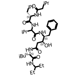 CCC(CC)NC(=O)[C@@H](NC(=O)C[C@H](O)[C@H](Cc1ccccc1)NC(=O)C(NC(=O)[C@H](CC(C)C)NC(=O)CC(C)C)C(C)C)[C@@H](C)CC